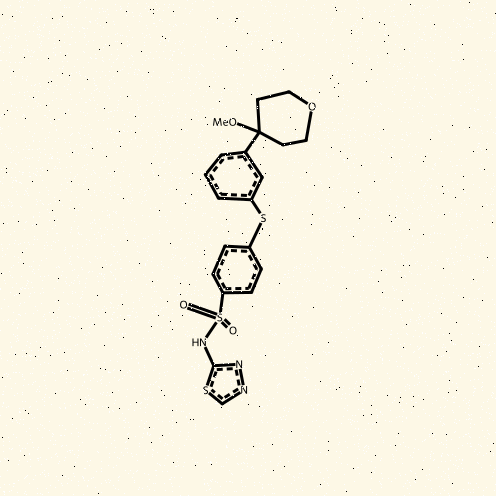 COC1(c2cccc(Sc3ccc(S(=O)(=O)Nc4nncs4)cc3)c2)CCOCC1